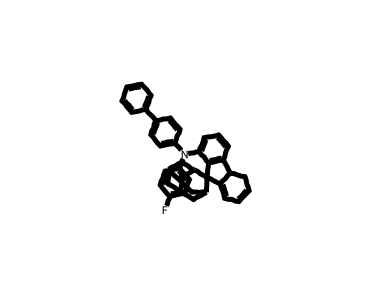 Fc1ccc(N(c2ccc(-c3ccccc3)cc2)c2cccc3c2C2(C4=CC=CCC43)C3CC4CC(C3)CC2C4)cc1